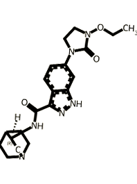 CCON1CCN(c2ccc3c(C(=O)N[C@H]4CN5CCC4CC5)n[nH]c3c2)C1=O